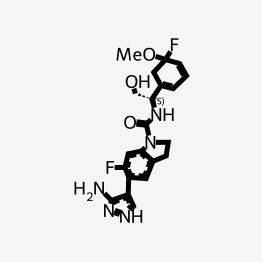 COC1(F)C=CC=C([C@@H](CO)NC(=O)N2CCc3cc(-c4c[nH]nc4N)c(F)cc32)C1